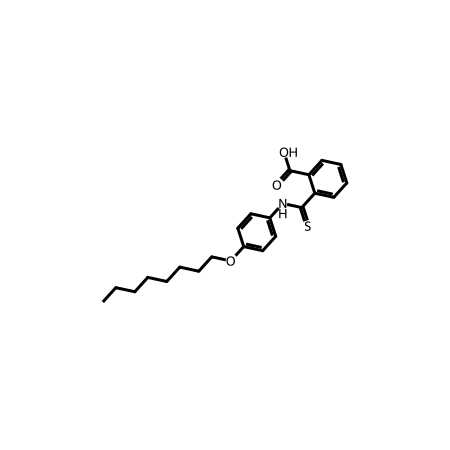 CCCCCCCCOc1ccc(NC(=S)c2ccccc2C(=O)O)cc1